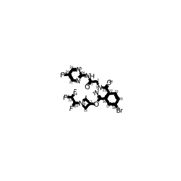 O=C(Cn1nc(OC2CN(C(F)C(F)F)C2)c2cc(Br)ccc2c1=O)Nc1ncc(F)cn1